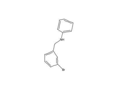 Brc1cccc(CNc2ccccc2)c1